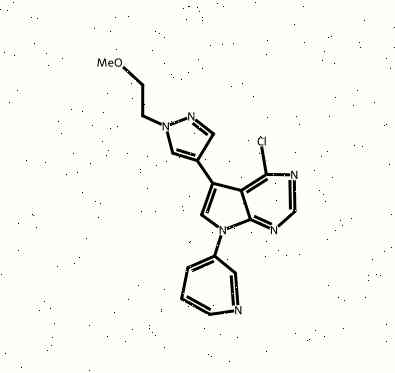 COCCn1cc(-c2cn(-c3cccnc3)c3ncnc(Cl)c23)cn1